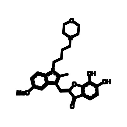 COc1ccc2c(c1)c(C=C1Oc3c(ccc(O)c3O)C1=O)c(C)n2CCCCN1CCOCC1